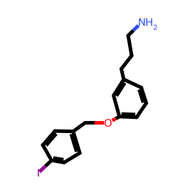 NCCCc1cccc(OCc2ccc(I)cc2)c1